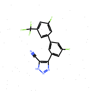 N#Cc1[nH]nnc1-c1cc(F)cc(-c2cc(F)cc(C(F)(F)F)c2)c1